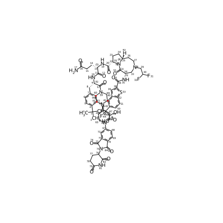 CC(C)(C)c1ccc(C[C@H](NC(=O)[C@H](CCC(N)=O)NC(=O)[C@@H]2CC[C@@H]3CCN(CC(F)F)C[C@H](NC(=O)c4cc5cc(C(F)(F)P(=O)(O)O)ccc5s4)C(=O)N32)C(=O)N2CCN(C3CCN(c4ccc5c(c4)C(=O)N(C4CCC(=O)NC4=O)C5=O)CC3)CC2)cc1